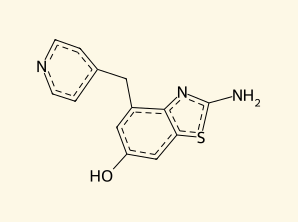 Nc1nc2c(Cc3ccncc3)cc(O)cc2s1